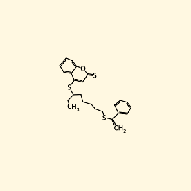 C=C(SCCCCCC(CC)Sc1cc(=S)oc2ccccc12)c1ccccc1